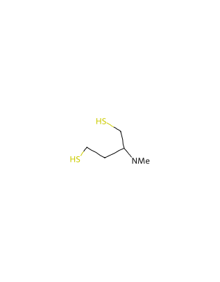 CNC(CS)CCS